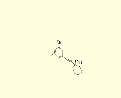 Cc1cc(Br)cc(C#CC2(O)CCCCC2)c1